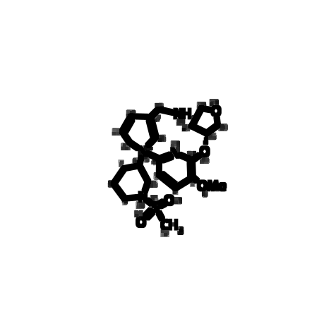 COc1ccc([N+]2(C3CCCN(S(C)(=O)=O)C3)C=C(CN)C=CC2)nc1O[C@@H]1CCOC1